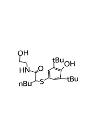 CCCCC(Sc1cc(C(C)(C)C)c(O)c(C(C)(C)C)c1)C(=O)NCCO